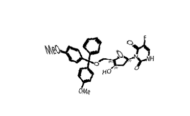 COc1ccc(C(OC[C@H]2O[C@@H](n3c(=O)[nH]cc(F)c3=O)C[C@H]2O)(c2ccccc2)c2ccc(OC)cc2)cc1